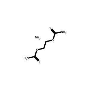 N.NC(=S)SCCSC(N)=S